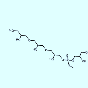 COP(=O)(OCC(O)CO)OCC(O)COCC(O)COCC(O)CO